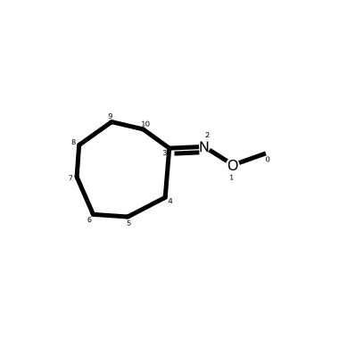 CON=C1CCCCCCC1